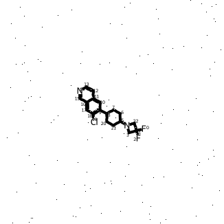 FC1(F)CN(C2CCC(c3cc4ccncc4cc3Cl)CC2)C1